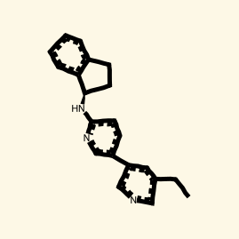 CCc1cncc(-c2ccc(N[C@@H]3CCc4ccccc43)nc2)c1